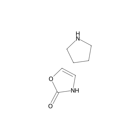 C1CCNC1.O=c1[nH]cco1